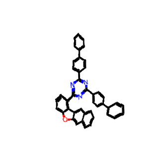 C1=CCC(c2ccc(-c3nc(-c4ccc(-c5ccccc5)cc4)nc(-c4cccc5oc6cc7ccccc7cc6c45)n3)cc2)C=C1